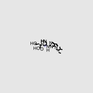 CC[C@H](Cn1ccc2cnc(N/C(C=N)=C/N[C@@H](CCO)C(=O)O)nc21)C(C)C